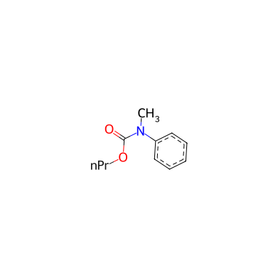 CCCOC(=O)N(C)c1ccccc1